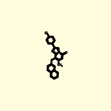 Cc1cc(=O)n2cc(-c3ccc(Cl)cc3)nc2n1Cc1ccc2ccccc2c1